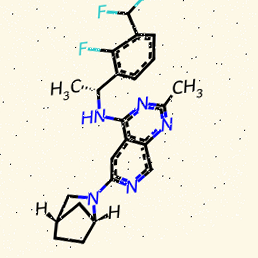 Cc1nc(N[C@H](C)c2cccc(C(F)F)c2F)c2cc(N3C[C@H]4CC[C@@H]3C4)ncc2n1